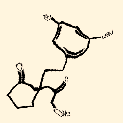 COC(=O)C1(CCc2cc(C(C)(C)C)cc(C(C)(C)C)c2)CCCC1=O